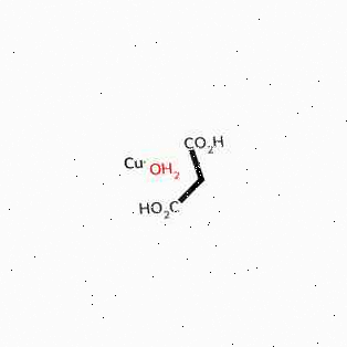 O.O=C(O)CC(=O)O.[Cu]